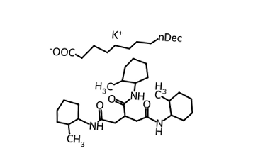 CC1CCCCC1NC(=O)CC(CC(=O)NC1CCCCC1C)C(=O)NC1CCCCC1C.CCCCCCCCCCCCCCCCCC(=O)[O-].[K+]